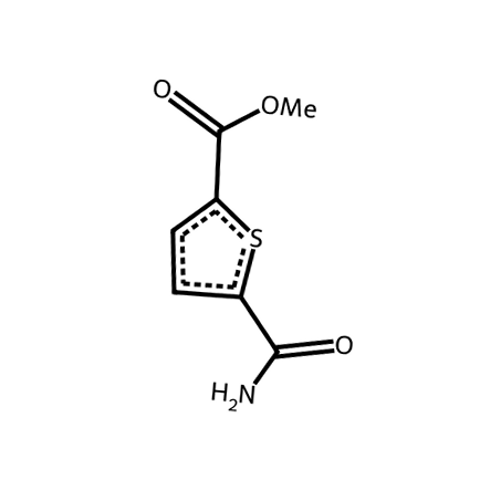 COC(=O)c1ccc(C(N)=O)s1